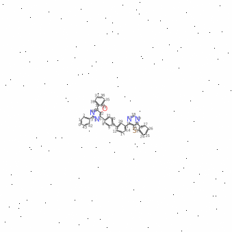 c1ccc(-c2nc(-c3ccc(-c4cccc(-c5ncnc6c5sc5ccccc56)c4)cc3)c3oc4ccccc4c3n2)cc1